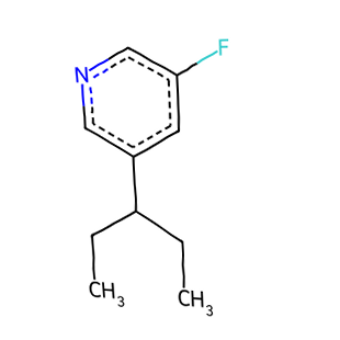 CCC(CC)c1cncc(F)c1